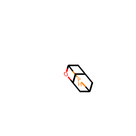 C1C2CC3CC1OC(C2)P3